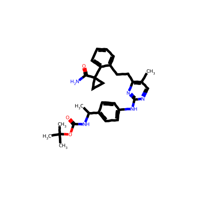 Cc1cnc(Nc2ccc(C(C)NC(=O)OC(C)(C)C)cc2)nc1CCc1ccccc1C1(C(N)=O)CC1